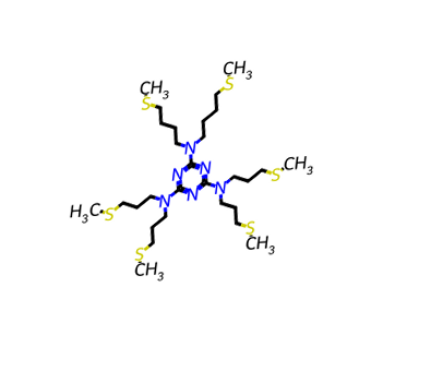 CSCCCCN(CCCCSC)c1nc(N(CCCSC)CCCSC)nc(N(CCCSC)CCCSC)n1